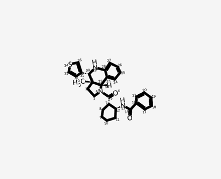 C[C@]12CCN(C(=O)[C@H]3CCCC[C@H]3NC(=O)c3ccccc3)[C@H]1c1ccccc1N[C@H]2c1ccsc1